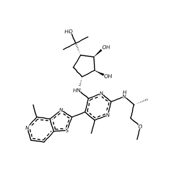 COC[C@@H](C)Nc1nc(C)c(-c2nc3c(C)nccc3s2)c(N[C@@H]2C[C@H](C(C)(C)O)[C@@H](O)[C@H]2O)n1